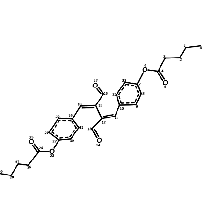 CCCCC(=O)Oc1ccc(/C=C(C=O)\C(C=O)=C/c2ccc(OC(=O)CCCC)cc2)cc1